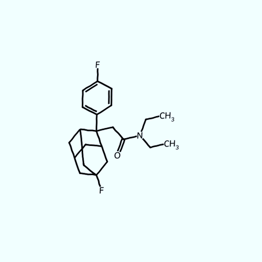 CCN(CC)C(=O)CC1(c2ccc(F)cc2)C2CC3CC1CC(F)(C3)C2